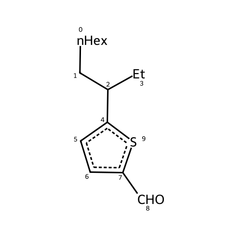 CCCCCCCC(CC)c1ccc(C=O)s1